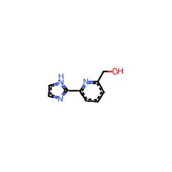 OCc1cccc(-c2ncc[nH]2)n1